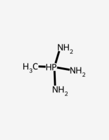 C[PH](N)(N)N